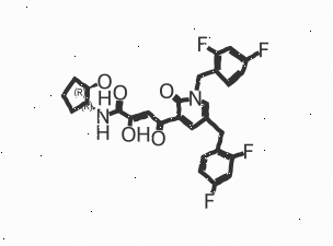 O=C(N[C@@H]1CCC[C@H]1O)C(O)=CC(=O)c1cc(Cc2ccc(F)cc2F)cn(Cc2ccc(F)cc2F)c1=O